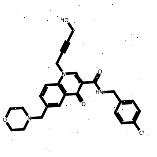 O=C(NCc1ccc(Cl)cc1)c1cn(CC#CCO)c2ccc(CN3CCOCC3)cc2c1=O